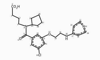 O=C(O)CCCN(C(=O)c1cc(Cl)cc(OCCNc2ccncc2)c1)C1CCCC1